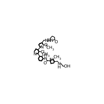 COc1nc(-c2ccnc(-c3cccc(NC(=O)c4ccc(CNCCO)c(C)n4)c3C)c2Cl)ccc1CNC[C@@H]1CCC(=O)N1